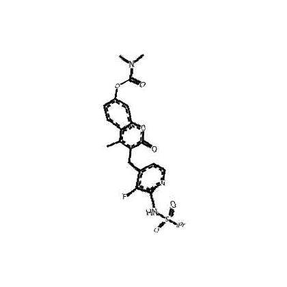 Cc1c(Cc2ccnc(NS(=O)(=O)C(C)C)c2F)c(=O)oc2cc(OC(=O)N(C)C)ccc12